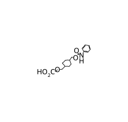 O=C(O)COCC1CCC(COC(=O)Nc2ccccc2)CC1